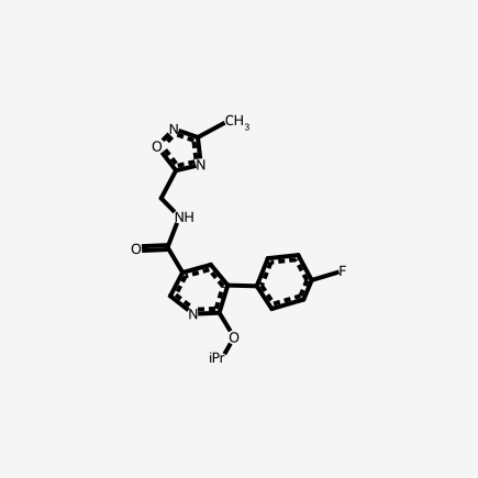 Cc1noc(CNC(=O)c2cnc(OC(C)C)c(-c3ccc(F)cc3)c2)n1